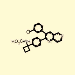 O=C(O)NC1(c2ccc(-c3nc4ccncc4cc3-c3cccc(Cl)c3)cc2)CCC1